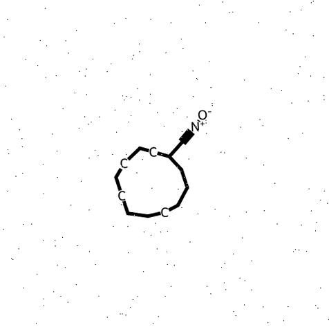 [O-][N+]#CC1CCCCCCCCCCC1